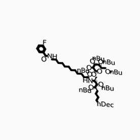 CCCCCCCCCCCCCC[C@@H](OCCCC)[C@@H](OCCCC)[C@H](CO[C@H]1OC(COCCCC)[C@H](OCCCC)[C@H](OCCCC)C1OCCCC)NC(=O)CCCCCCCCCCCNC(=O)c1cccc(F)c1